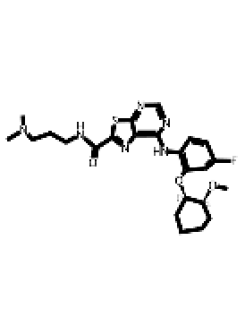 CO[C@H]1CCCC[C@H]1Oc1cc(F)ccc1Nc1ncnc2sc(C(=O)NCCCN(C)C)nc12